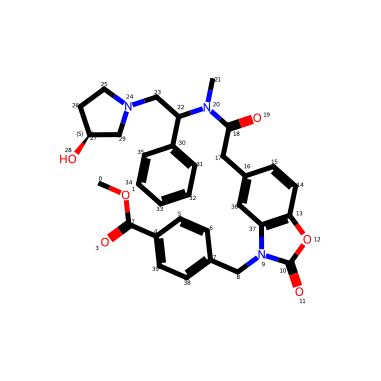 COC(=O)c1ccc(Cn2c(=O)oc3ccc(CC(=O)N(C)C(CN4CC[C@H](O)C4)c4ccccc4)cc32)cc1